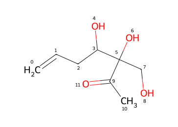 C=CCC(O)C(O)(CO)C(C)=O